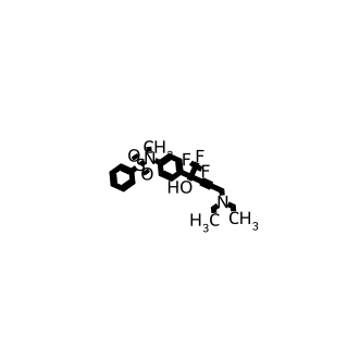 CCN(CC)CC#CC(O)(c1ccc(N(C)S(=O)(=O)c2ccccc2)cc1)C(F)(F)F